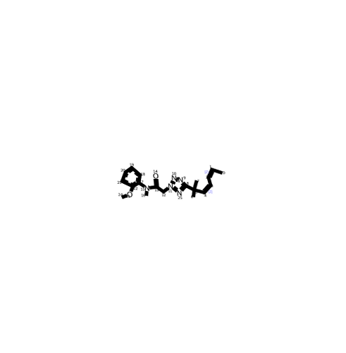 C/C=C\C=C/C(C)(C)c1nnn(CC(=O)N(C)c2ccccc2OC)n1